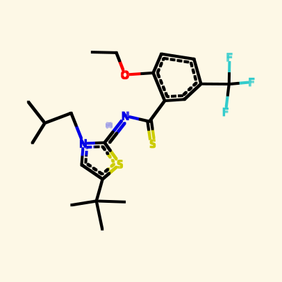 CCOc1ccc(C(F)(F)F)cc1C(=S)/N=c1\sc(C(C)(C)C)cn1CC(C)C